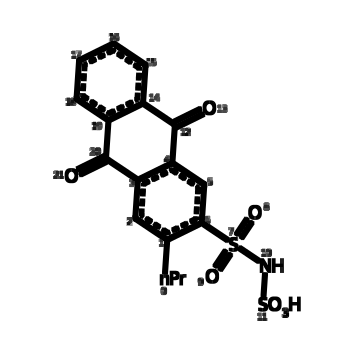 CCCc1cc2c(cc1S(=O)(=O)NS(=O)(=O)O)C(=O)c1ccccc1C2=O